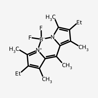 CCC1=C(C)C2=C(C)c3c(C)c(CC)c(C)n3[B-](F)(F)[N+]2=C1C